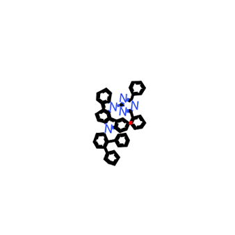 c1ccc(-c2nc(-c3ccccc3)nc(-n3c4ccccc4c4ccc5c(c6ccccc6n5-c5cccc(-c6ccccc6)c5-c5ccccc5)c43)n2)cc1